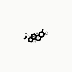 CC(=O)[C@H]1CC[C@H]2[C@@H]3CCC4=CC(=O)C(C)C[C@]4(C)[C@H]3CC[C@]12C